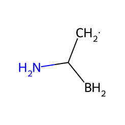 BC([CH2])N